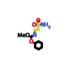 COC(=NSSS(N)(=O)=O)Oc1ccccc1